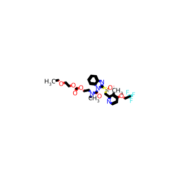 CCOCCOC(=O)OCCN(C)C(=O)n1c([S@+]([O-])Cc2nccc(OCC(F)(F)F)c2C)nc2ccccc21